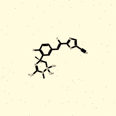 CN1C(N)=N[C@](C)(c2cc(/C=C(\F)c3ncc(C#N)s3)ccc2F)CS1(O)O